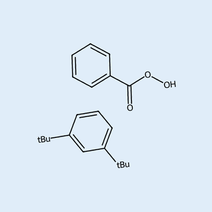 CC(C)(C)c1cccc(C(C)(C)C)c1.O=C(OO)c1ccccc1